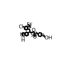 O=C1S/C(=C(/Cc2ccc(Cl)cc2C(F)(F)F)c2ccc3[nH]ncc3c2)C(=O)N1CC1(F)CCN(CCO)CC1